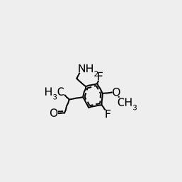 COc1c(F)cc(C(C)C=O)c(CN)c1F